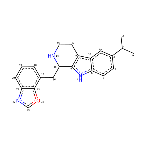 CC(C)c1ccc2[nH]c3c(c2c1)CCNC3Cc1cccc2ncoc12